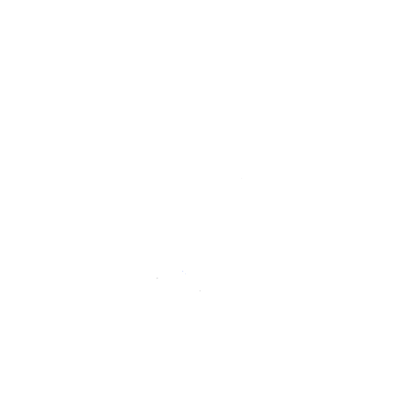 CCCCN(CCCC)c1ccc(C2(OC(C)=O)OC(=O)c3ccccc32)cc1